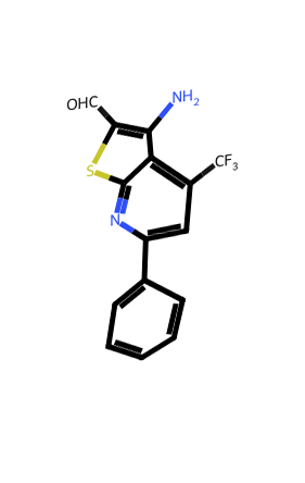 Nc1c(C=O)sc2nc(-c3ccccc3)cc(C(F)(F)F)c12